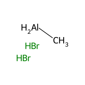 Br.Br.[CH3][AlH2]